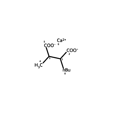 CCCCC(C(=O)[O-])C(C)C(=O)[O-].[Ca+2]